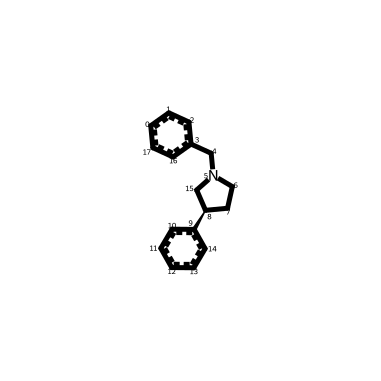 c1ccc(CN2CC[C@@H](c3ccccc3)C2)cc1